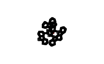 c1ccc(-c2nc(-c3cccc4oc5ccccc5c34)nc(-n3c4ccccc4c4ccc5c6ccccc6n(-c6ccc7c8ccccc8c8ccccc8c7c6)c5c43)n2)cc1